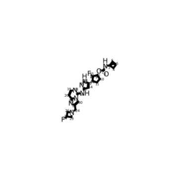 O=C(NC12CC(C1)C2)O[C@@H]1CC[C@H](c2cc(Nc3nccc4nc(CN5CC(F)C5)cn34)n[nH]2)[C@H]1F